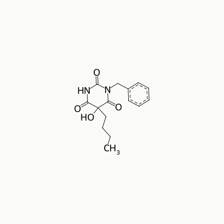 CCCCC1(O)C(=O)NC(=O)N(Cc2ccccc2)C1=O